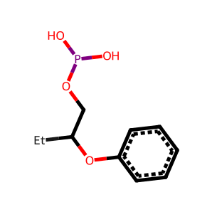 CCC(COP(O)O)Oc1ccccc1